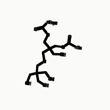 CCCCCCCC(=O)OCC(CO)(COCC(CO)(CO)CO)COC(=O)CCCC